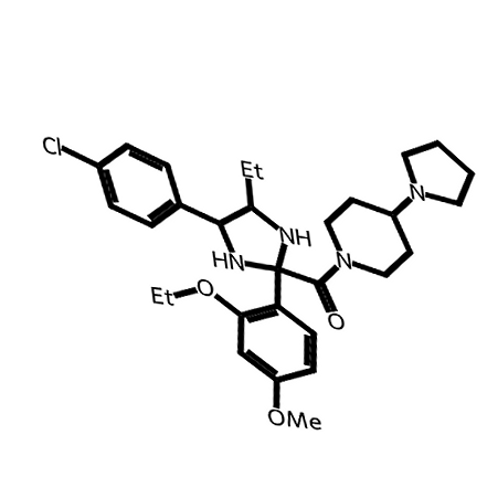 CCOc1cc(OC)ccc1C1(C(=O)N2CCC(N3CCCC3)CC2)NC(CC)C(c2ccc(Cl)cc2)N1